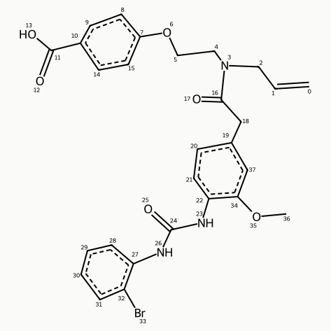 C=CCN(CCOc1ccc(C(=O)O)cc1)C(=O)Cc1ccc(NC(=O)Nc2ccccc2Br)c(OC)c1